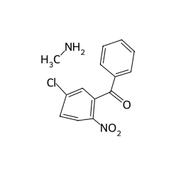 CN.O=C(c1ccccc1)c1cc(Cl)ccc1[N+](=O)[O-]